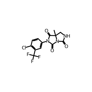 CC12CNC(=O)N1C(=O)N(c1ccc(Cl)c(C(F)(F)F)c1)C2=O